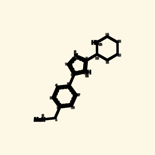 CNCc1ccc(-c2cnc(C3CCCCN3)[nH]2)cc1